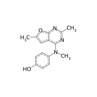 Cc1nc(N(C)c2ccc(O)cc2)c2cc(C)oc2n1